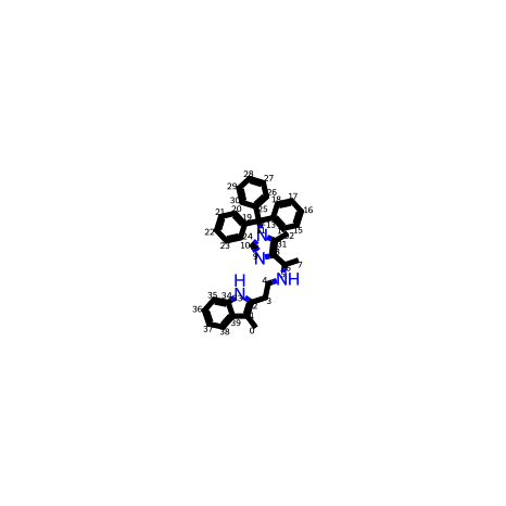 Cc1c(CCNC(C)c2ncn(C(c3ccccc3)(c3ccccc3)c3ccccc3)c2C)[nH]c2ccccc12